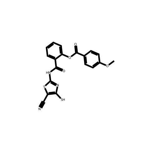 COc1ccc(C(=O)Oc2ccccc2C(=O)Nc2nc(S)c(C#N)s2)cc1